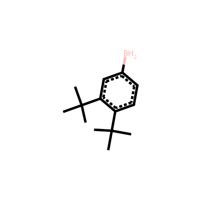 Bc1ccc(C(C)(C)C)c(C(C)(C)C)c1